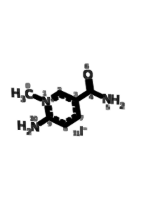 C[n+]1cc(C(N)=O)ccc1N.[I-]